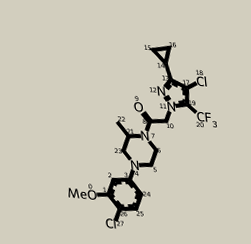 COc1cc(N2CCN(C(=O)Cn3nc(C4CC4)c(Cl)c3C(F)(F)F)C(C)C2)ccc1Cl